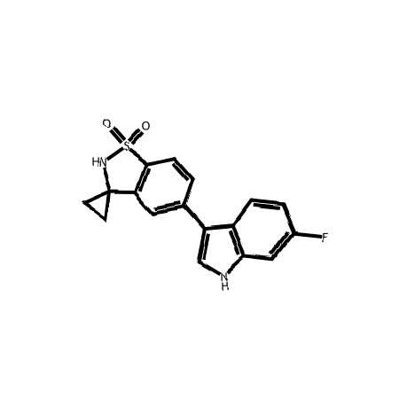 O=S1(=O)NC2(CC2)c2cc(-c3c[nH]c4cc(F)ccc34)ccc21